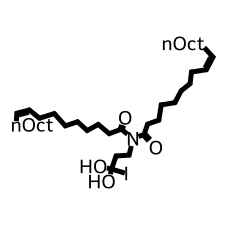 CCCCCCCC/C=C\CCCCCCCC(=O)N(CCC(O)(O)I)C(=O)CCCCCCC/C=C\CCCCCCCC